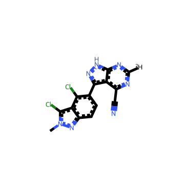 [2H]c1nc(C#N)c2c(-c3ccc4nn(C)c(Cl)c4c3Cl)n[nH]c2n1